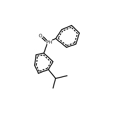 CC(C)c1cccc([PH](=O)c2ccccc2)c1